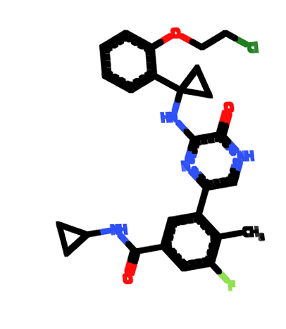 Cc1c(F)cc(C(=O)NC2CC2)cc1-c1c[nH]c(=O)c(NC2(c3ccccc3OCCCl)CC2)n1